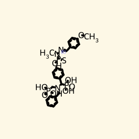 COc1ccc(/C=N/N(C)[PH](=S)Oc2ccc(C(N(Cc3ccccc3)CP(=O)(O)O)P(=O)(O)O)cc2)cc1